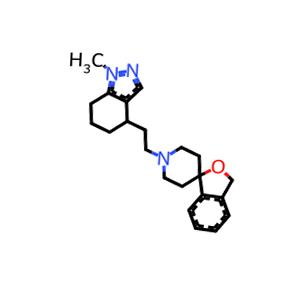 Cn1ncc2c1CCCC2CCN1CCC2(CC1)OCc1ccccc12